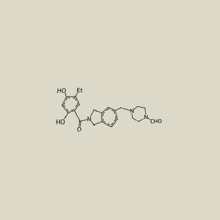 CCc1cc(C(=O)N2Cc3ccc(CN4CCN(C=O)CC4)cc3C2)c(O)cc1O